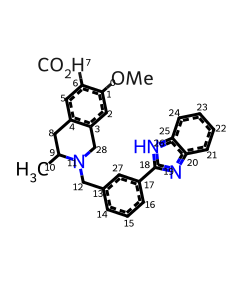 COc1cc2c(cc1C(=O)O)CC(C)N(Cc1cccc(-c3nc4ccccc4[nH]3)c1)C2